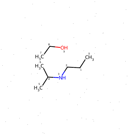 CCCNC(C)C.CCO